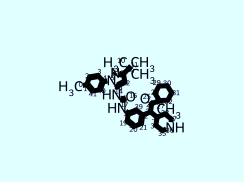 Cc1ccc(-n2nc(C(C)(C)C)cc2NC(=O)Nc2cccc(C(C(=O)C3(C)CCCCC3)C3CCNCC3)c2)cc1